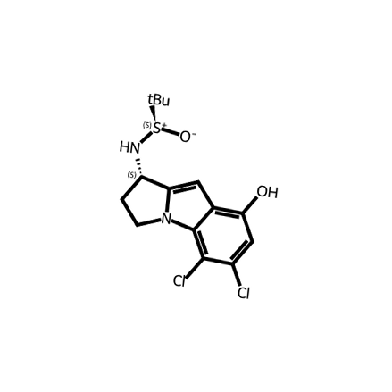 CC(C)(C)[S@@+]([O-])N[C@H]1CCn2c1cc1c(O)cc(Cl)c(Cl)c12